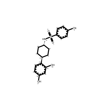 N#Cc1ccc(S(=O)(=O)N[C@H]2CC[C@H](c3ccc(O)cc3O)CC2)cc1